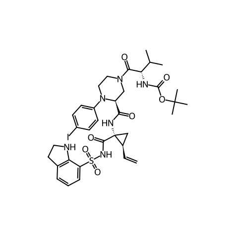 C=C[C@@H]1C[C@]1(NC(=O)[C@@H]1CN(C(=O)[C@@H](NC(=O)OC(C)(C)C)C(C)C)CCN1c1ccc(I)cc1)C(=O)NS(=O)(=O)c1cccc2c1NCC2